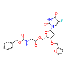 O=C(CNC(=O)OCc1ccccc1)OC[C@@H]1O[C@H](n2cc(F)c(=O)[nH]c2=O)CC1OCc1ccco1